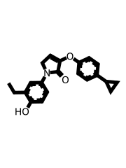 CCc1cc(N2CC=C(Oc3ccc(C4CC4)cc3)C2=O)ccc1O